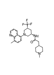 Cc1ccc(N2C[C@H](NC(=O)CC3CCN(C)CC3)C[C@H](C(F)(F)F)C2)c2cccnc12